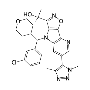 Cc1nnn(C)c1-c1cnc2c3onc(C(C)(C)O)c3n(C(c3cccc(Cl)c3)C3CCOCC3)c2c1